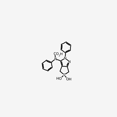 O=C(O)N(c1ccccc1)c1c2c(nn1-c1ccccc1)CS(O)(O)C2